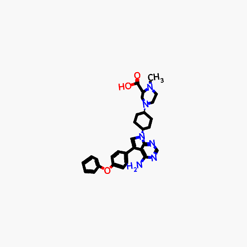 CN1CCN([C@H]2CC[C@H](n3cc(-c4ccc(Oc5ccccc5)cc4)c4c(N)ncnc43)CC2)CC1C(=O)O